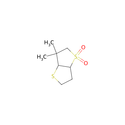 CC1(C)CS(=O)(=O)C2CCSC21